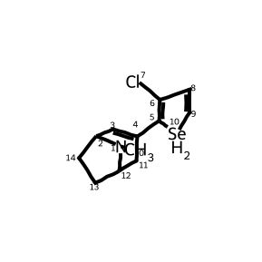 CN1C2C=C(C3=C(Cl)C=C[SeH2]3)CC1CC2